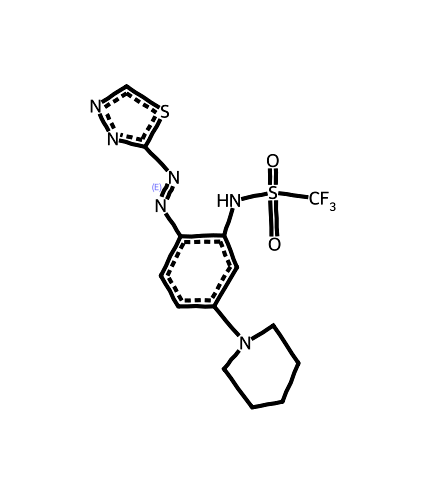 O=S(=O)(Nc1cc(N2CCCCC2)ccc1/N=N/c1nncs1)C(F)(F)F